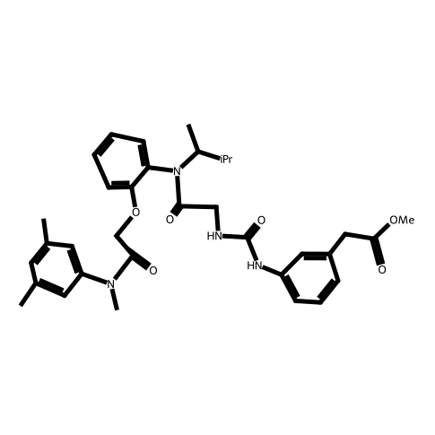 COC(=O)Cc1cccc(NC(=O)NCC(=O)N(c2ccccc2OCC(=O)N(C)c2cc(C)cc(C)c2)C(C)C(C)C)c1